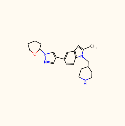 Cc1cc2cc(-c3cnn(C4CCCCO4)c3)ccc2n1CC1CCNCC1